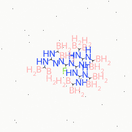 BC(B)NC(N=NC(F)NC(NC(NC(B)B)NC(B)B)NC(NC(B)B)NC(B)B)NC(B)B